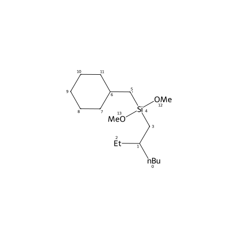 CCCCC(CC)C[Si]([CH]C1CCCCC1)(OC)OC